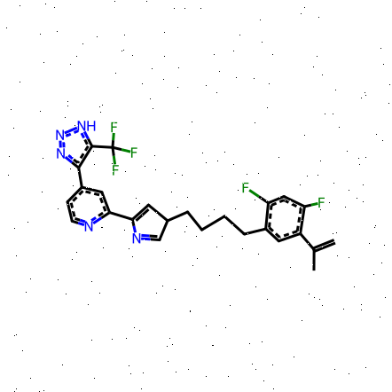 C=C(C)c1cc(CCCCC2C=NC(c3cc(-c4nn[nH]c4C(F)(F)F)ccn3)=C2)c(F)cc1F